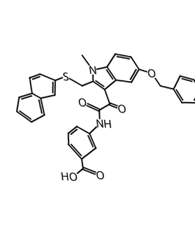 Cn1c(CSc2ccc3ccccc3c2)c(C(=O)C(=O)Nc2cccc(C(=O)O)c2)c2cc(OCc3ccccc3)ccc21